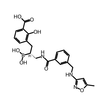 Cc1cc(NCc2cccc(C(=O)NC[C@@H](Cc3cccc(C(=O)O)c3O)B(O)O)c2)no1